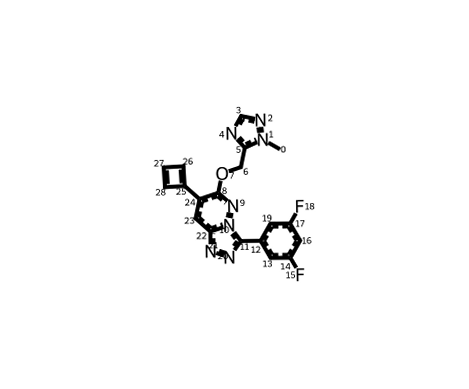 Cn1ncnc1COc1nn2c(-c3cc(F)cc(F)c3)nnc2cc1C1=CC=C1